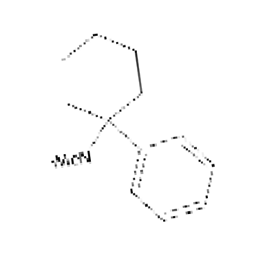 C[N]C1(c2ccccc2)CCCCC1